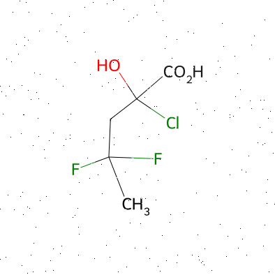 CC(F)(F)CC(O)(Cl)C(=O)O